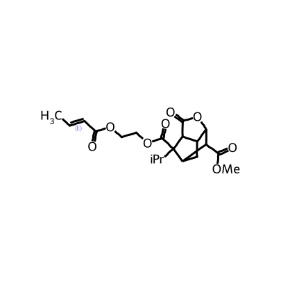 C/C=C/C(=O)OCCOC(=O)C1(C(C)C)C2CC3C(OC(=O)C31)C2C(=O)OC